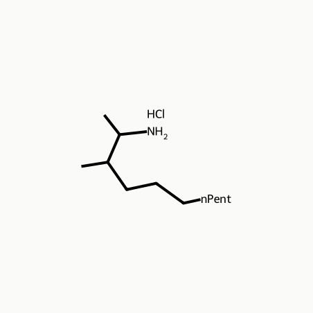 CCCCCCCCC(C)C(C)N.Cl